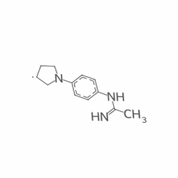 CC(=N)Nc1ccc(N2C[CH]CC2)cc1